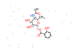 CCCC(=O)N[C@H]1C(C)O[C@H](COC(=O)c2ccccc2O)[C@@H](O)[C@@H]1O